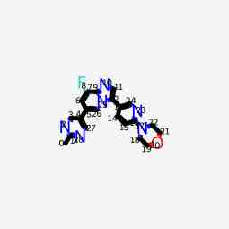 Cc1ncc(-c2cc(F)c3ncc(-c4ccc(N5CCOCC5)nc4)n3c2)cn1